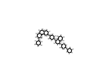 c1ccc(-c2cnc(-c3ccc(-c4ccc(-c5ccc6ccc7ccc(-c8ccccc8)nc7c6n5)cc4)c4ccccc34)cn2)cc1